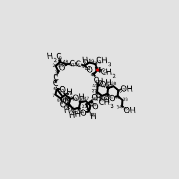 C=C1CC2CC[C@@]34CC5O[C@H]6[C@@H](O3)[C@H]3O[C@H](CC[C@@H]3O[C@H]6[C@H]5O4)CC(=O)O[C@@H]3[C@@H](C)[C@@H]4OC(CCO)[C@H](O)C[C@@H]4O[C@H]3C[C@H]3O[C@@H](CCC1O2)C[C@@H](C)C3=C